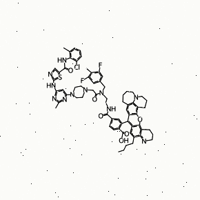 CCCCc1cc2c(c3c1=NCCC3)Oc1c(cc3c4c1CCCN4CCCC3)C=2c1cc(C(=O)NCCN(Cc2cc(F)c(C)c(F)c2)C(=O)CN2CCN(c3cc(Nc4ncc(C(=O)Nc5c(C)cccc5Cl)s4)nc(C)n3)CC2)ccc1C(=O)O